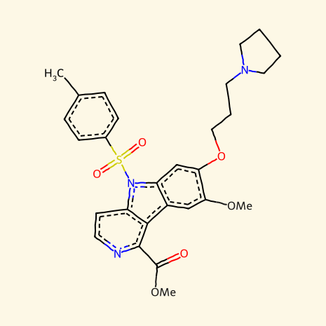 COC(=O)c1nccc2c1c1cc(OC)c(OCCCN3CCCC3)cc1n2S(=O)(=O)c1ccc(C)cc1